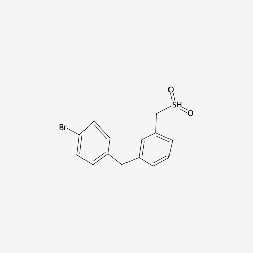 O=[SH](=O)Cc1cccc(Cc2ccc(Br)cc2)c1